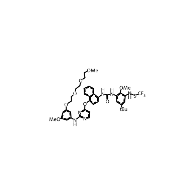 COCCOCCOCCOc1cc(Nc2nccc(Oc3ccc(NC(=O)Nc4cc(C(C)(C)C)cc(NSC(F)(F)F)c4OC)c4ccccc34)n2)cc(OC)c1